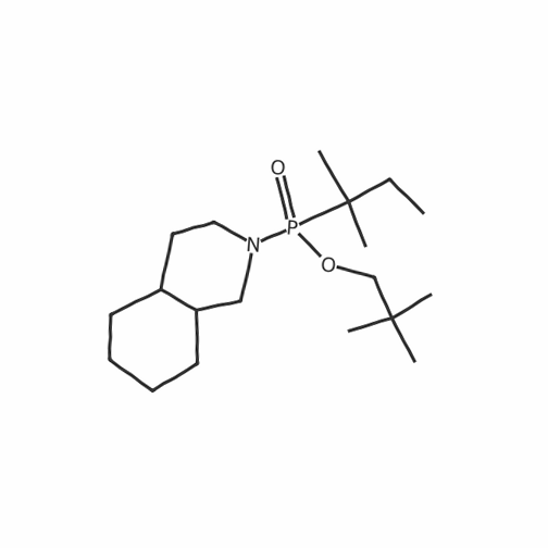 CCC(C)(C)P(=O)(OCC(C)(C)C)N1CCC2CCCCC2C1